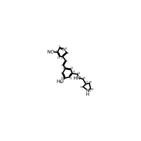 N#Cc1cncc(C=Cc2cc(O)cc(CNCC3CCNC3)c2)c1